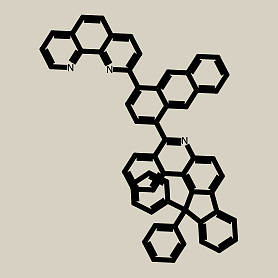 c1ccc(C2(c3ccccc3)c3ccccc3-c3ccc4nc(-c5ccc(-c6ccc7ccc8cccnc8c7n6)c6cc7ccccc7cc56)c5ccccc5c4c32)cc1